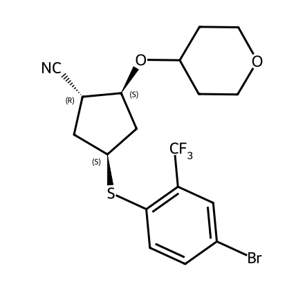 N#C[C@H]1C[C@H](Sc2ccc(Br)cc2C(F)(F)F)C[C@@H]1OC1CCOCC1